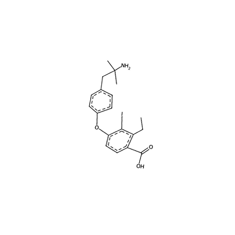 CCc1c(C(=O)O)ccc(Oc2ccc(CC(C)(C)N)cc2)c1I